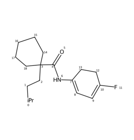 CC(C)CCC1(C(=O)NC2=CC=C(F)C[CH]2)CCCCC1